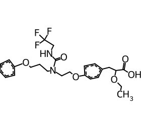 CCOC(Cc1ccc(OCCN(CCCOc2ccccc2)C(=O)NCC(F)(F)F)cc1)C(=O)O